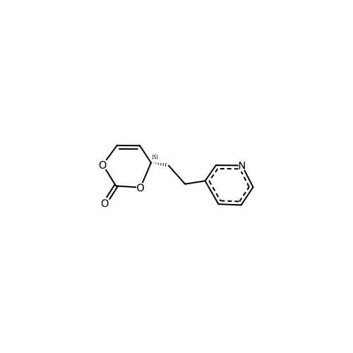 O=C1OC=C[C@H](CCc2cccnc2)O1